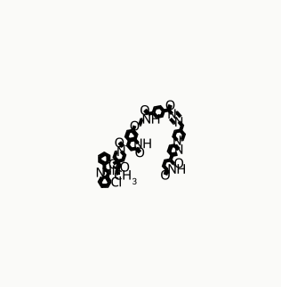 CNC(=O)C1(Oc2ccccc2C2=Nc3cccc(Cl)c3C2)CCN(C(=O)[C@H]2CC(=O)Nc3cc(OCCNC(=O)C4CCC(C(=O)N5CCN(CC6CCN(c7ccc(C8CCC(=O)NC8=O)cn7)CC6)CC5)CC4)ccc32)CC1